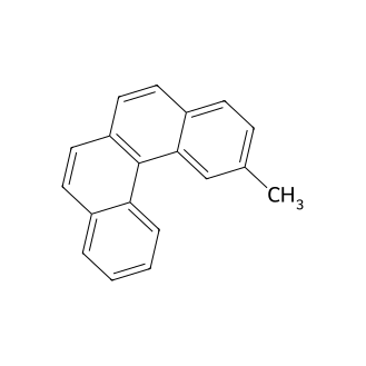 Cc1ccc2ccc3ccc4ccccc4c3c2c1